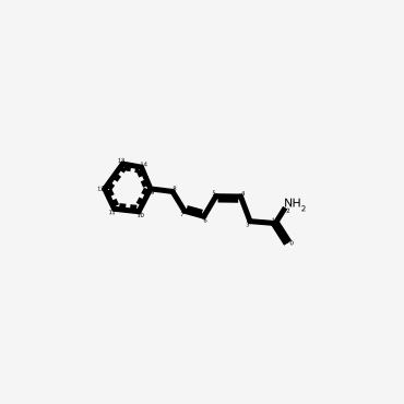 C=C(N)C/C=C\C=C/Cc1ccccc1